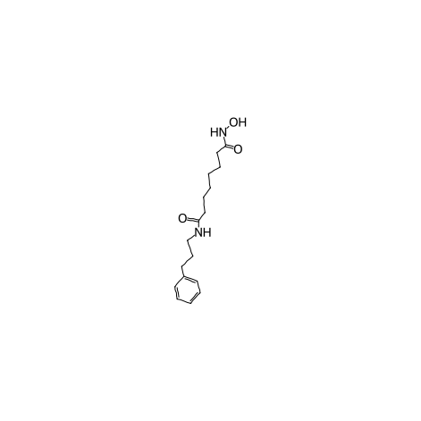 O=C(CCCCCCC(=O)NCCCc1ccccc1)NO